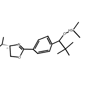 CC(C)[C@H]1COC(c2ccc(C(O[SiH](C)C)C(C)(C)C)cc2)=N1